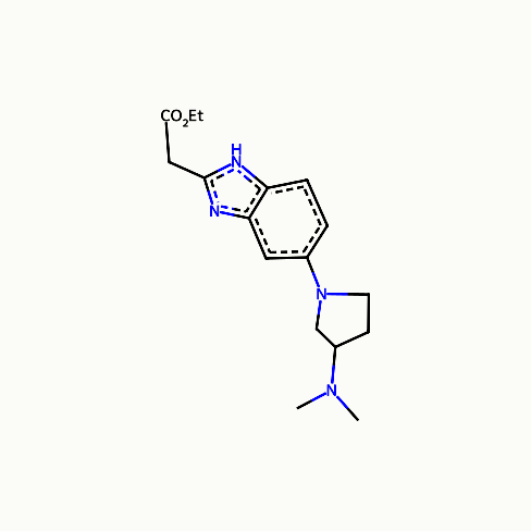 CCOC(=O)Cc1nc2cc(N3CCC(N(C)C)C3)ccc2[nH]1